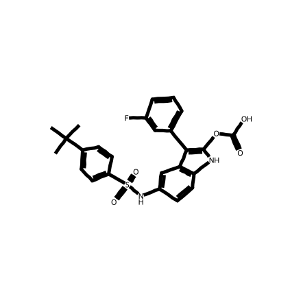 CC(C)(C)c1ccc(S(=O)(=O)Nc2ccc3[nH]c(OC(=O)O)c(-c4cccc(F)c4)c3c2)cc1